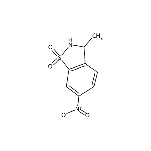 CC1NS(=O)(=O)c2cc([N+](=O)[O-])ccc21